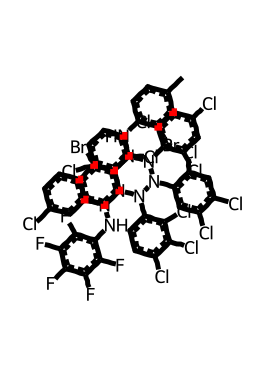 Cc1ccc(NN(c2ccccc2Br)N(c2c(Cl)cc(Cl)cc2Cl)N(c2cc(Cl)c(Cl)cc2Cl)N(c2ccc(Cl)c(Cl)c2Cl)N(c2c(Cl)cccc2Cl)N(Nc2c(F)c(F)c(F)c(F)c2F)c2cccc(Cl)c2)c(Br)c1